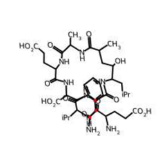 CC(C)CC(NC(=O)C(CC(N)=O)NC(=O)C(NC(=O)C(N)CCC(=O)O)C(C)C)C(O)CC(C)C(=O)NC(C)C(=O)NC(CCC(=O)O)C(=O)NC(Cc1ccccc1)C(=O)O